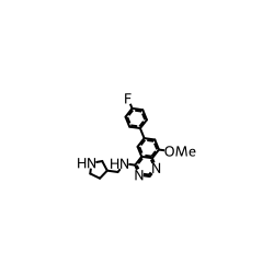 COc1cc(-c2ccc(F)cc2)cc2c(NCC3CCNC3)ncnc12